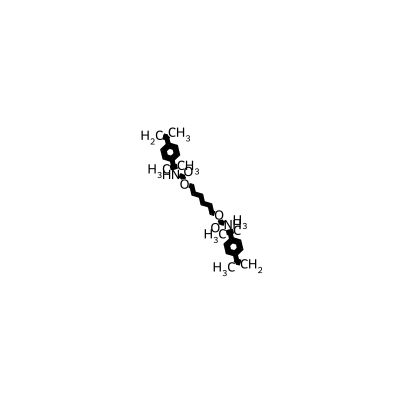 C=C(C)c1ccc(C(C)(C)NC(=O)OCCCCCCOC(=O)NC(C)(C)c2ccc(C(=C)C)cc2)cc1